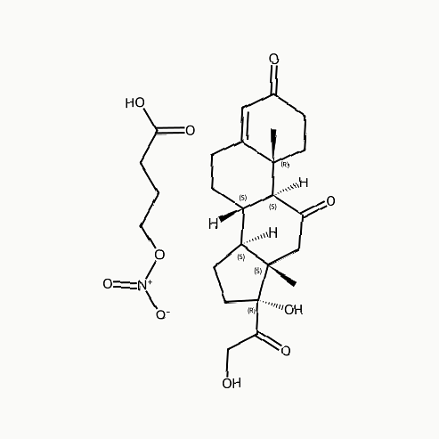 C[C@]12CCC(=O)C=C1CC[C@@H]1[C@@H]2C(=O)C[C@@]2(C)[C@H]1CC[C@]2(O)C(=O)CO.O=C(O)CCCO[N+](=O)[O-]